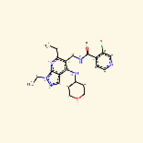 CCc1nc2c(cnn2CC)c(NC2CCOCC2)c1CNC(=O)c1ccncc1F